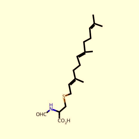 CC(C)=CCC/C(C)=C/CC/C(C)=C/CSCC(NC=O)C(=O)O